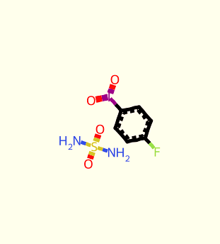 NS(N)(=O)=O.O=I(=O)c1ccc(F)cc1